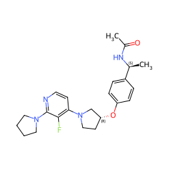 CC(=O)N[C@@H](C)c1ccc(O[C@@H]2CCN(c3ccnc(N4CCCC4)c3F)C2)cc1